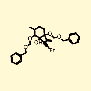 C=C(C)C1(OCOCc2ccccc2)CCC(C)C(OCOCc2ccccc2)C1(O)C#CCC